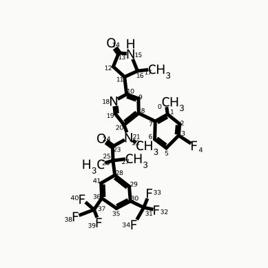 Cc1cc(F)ccc1-c1cc(C2CC(=O)NC2C)ncc1N(C)C(=O)C(C)(C)c1cc(C(F)(F)F)cc(C(F)(F)F)c1